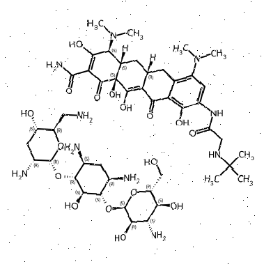 CN(C)c1cc(NC(=O)CNC(C)(C)C)c(O)c2c1C[C@H]1C[C@H]3[C@H](N(C)C)C(O)=C(C(N)=O)C(=O)[C@@]3(O)C(O)=C1C2=O.NC[C@H]1O[C@H](O[C@H]2[C@H](O)[C@@H](O[C@H]3O[C@H](CO)[C@@H](O)[C@H](N)[C@H]3O)[C@H](N)C[C@@H]2N)[C@H](N)C[C@@H]1O